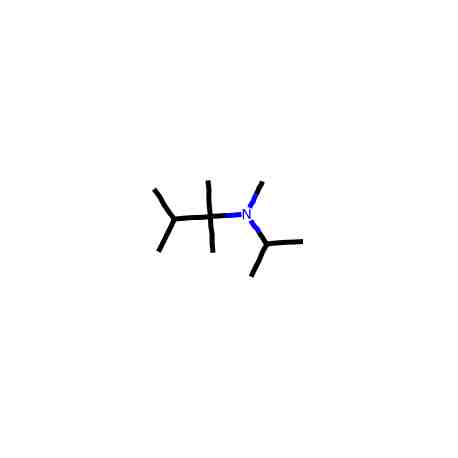 CC(C)N(C)C(C)(C)C(C)C